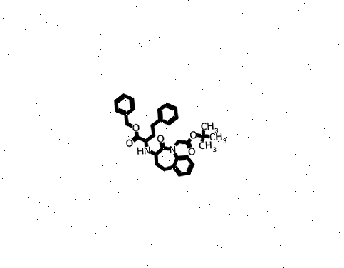 CC(C)(C)OC(=O)CN1C(=O)C(NC(CCc2ccccc2)C(=O)OCc2ccccc2)CCc2ccccc21